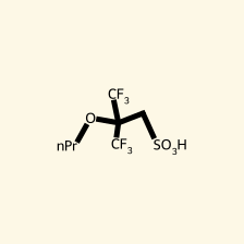 CCCOC(CS(=O)(=O)O)(C(F)(F)F)C(F)(F)F